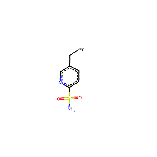 CC(C)Cc1ccc(S(N)(=O)=O)nc1